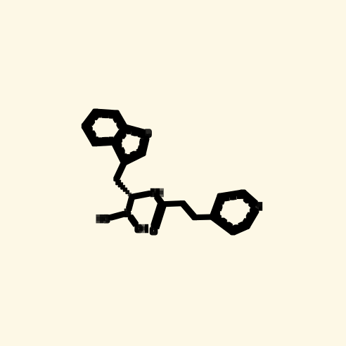 O=C(CCc1ccncc1)N[C@@H](Cc1coc2ccccc12)B(O)O